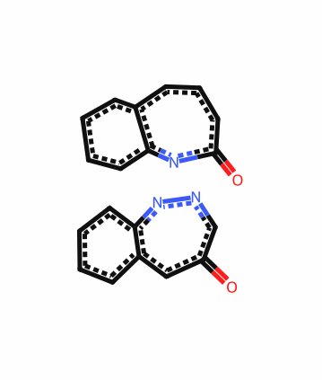 O=c1cccc2ccccc2n1.O=c1cnnc2ccccc2c1